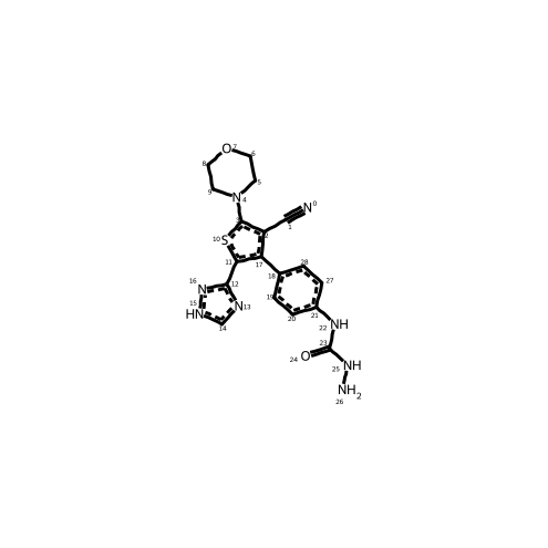 N#Cc1c(N2CCOCC2)sc(-c2nc[nH]n2)c1-c1ccc(NC(=O)NN)cc1